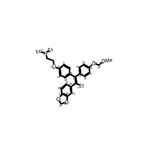 CC/C(=C(/c1ccc(OCCN(CC)CC)cc1)c1ccc(OCOC)cc1)c1ccc2c(c1)OCO2